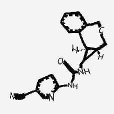 N#Cc1ccc(NC(=O)NC2[C@H]3CCCc4ccccc4[C@H]23)nc1